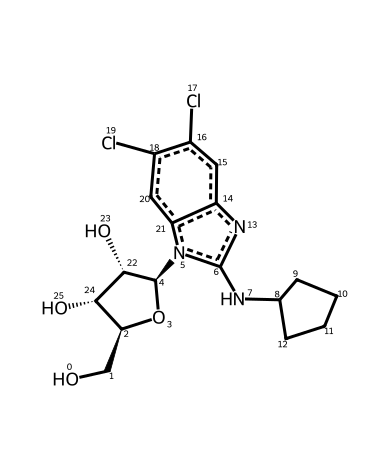 OC[C@@H]1O[C@H](n2c(NC3CCCC3)nc3cc(Cl)c(Cl)cc32)[C@@H](O)[C@H]1O